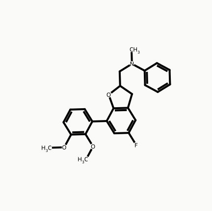 COc1cccc(-c2cc(F)cc3c2OC(CN(C)c2ccccc2)C3)c1OC